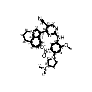 COc1cc(N2CC[C@H](N(C)C)C2)c([N+](=O)[O-])cc1Nc1ncc(C#N)c(-c2cn3c4c(cccc24)CCC3)n1